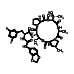 C[C@@H]1C[C@H]2C(=O)O[C@@H](C)[C@H](NC(=O)[C@H](Cc3cc(F)cc(F)c3)NC(=O)Nc3ccc4c(c3)OCO4)C(=O)N3CCC[C@H]3C(=O)N(C)[C@@H]([C@@H](C)O)C(=O)N[C@@H](C)C(=O)N2C1